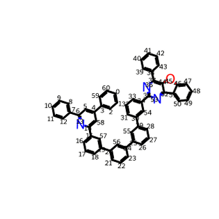 c1ccc(-c2cc(-c3ccccc3)nc(-c3cccc(-c4cccc(-c5cccc(-c6cccc(-c7nc(-c8ccccc8)c8oc9ccccc9c8n7)c6)c5)c4)c3)c2)cc1